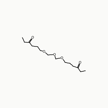 CCC(=O)CCCOCOCOCCCC(=O)CC